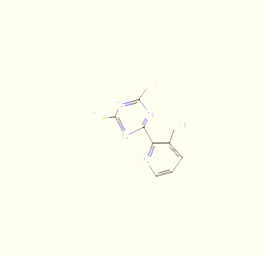 CSc1nc(O)nc(-c2ncccc2C)n1